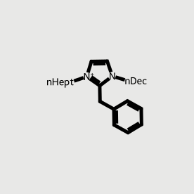 CCCCCCCCCCn1cc[n+](CCCCCCC)c1Cc1ccccc1